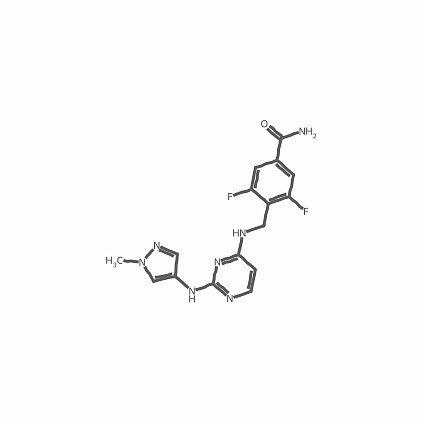 Cn1cc(Nc2nccc(NCc3c(F)cc(C(N)=O)cc3F)n2)cn1